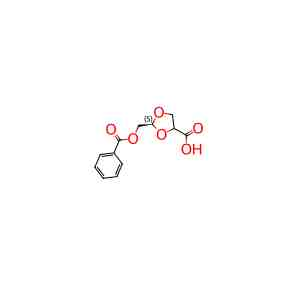 O=C(OC[C@H]1OCC(C(=O)O)O1)c1ccccc1